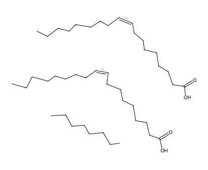 CCCCCCCC.CCCCCCCC/C=C\CCCCCCCC(=O)O.CCCCCCCC/C=C\CCCCCCCC(=O)O